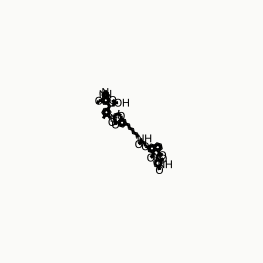 COc1cc([C@@H](CC(=O)O)c2ccc(C)c(CN3C[C@@H](C)Oc4cc(CCCCCCNC(=O)COc5cc6c7c(cccc7c5)C(=O)N(C5CCC(=O)NC5=O)C6=O)ccc4S3(=O)=O)c2)cc2nnn(C)c12